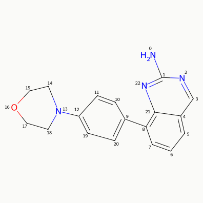 Nc1ncc2cccc(-c3ccc(N4CCOCC4)cc3)c2n1